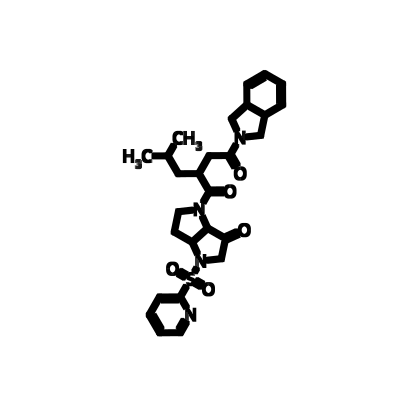 CC(C)CC(CC(=O)N1CC2C=CC=CC2C1)C(=O)N1CCC2C1C(=O)CN2S(=O)(=O)c1ccccn1